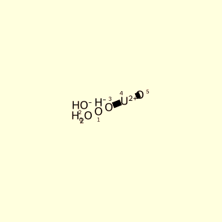 O.[OH-].[OH-].[O]=[U+2]=[O]